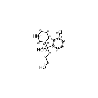 OCCC[C@@](O)(c1cccc(Cl)c1)[C@@H]1CCCNC1